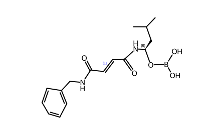 CC(C)C[C@H](NC(=O)/C=C/C(=O)NCc1ccccc1)OB(O)O